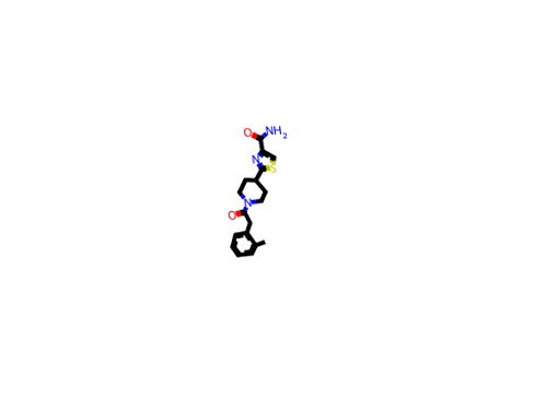 Cc1ccccc1CC(=O)N1CCC(c2nc(C(N)=O)cs2)CC1